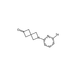 [2H]c1cccc(N2CC3(CC(=O)C3)C2)n1